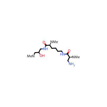 CNCC(O)CNC(=O)[C@H](CCCCNC(=O)[C@H](CN)NC)NC